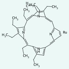 CCC1=C(CC)c2nc1c(CC)c1[nH]c(cc3nc(cc4c(CC)c(CC)c(c2CC)n4CC)C=C3)cc1CC.[Ru]